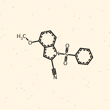 COc1cccc2c1cc(C#N)n2S(=O)(=O)c1ccccc1